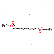 CC(C)CCCOC(=O)CCCCCCCCCCCCCCC(C)CC(=O)OCCCC(C)C